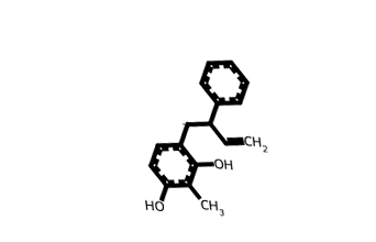 C=CC([CH]c1ccc(O)c(C)c1O)c1ccccc1